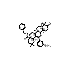 CC1(C)CC[C@]2(C(=O)OCc3ccccc3)CC[C@]3(C)C(=C(c4cccc(N)c4)CC4[C@@]5(C)CCC(=O)C(C)(C)[C@@H]5CC[C@]43C)[C@@H]2C1